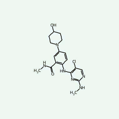 CNC(=O)c1cc(N2CCC(O)CC2)ccc1Nc1nc(NC)ncc1Cl